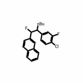 CCCCC(c1ccc(Cl)c(F)c1)C(F)c1ccc2ccccc2c1